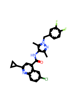 Cc1nn(Cc2ccc(F)c(F)c2)c(C)c1NC(=O)c1cc(C2CC2)nc2ccc(Cl)cc12